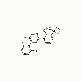 Cc1cnc(-n2cccc(C3(O)CCC3)c2=O)cc1-n1c(C)cccc1=O